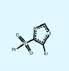 CCc1scnc1S(=O)(=O)C(C)C